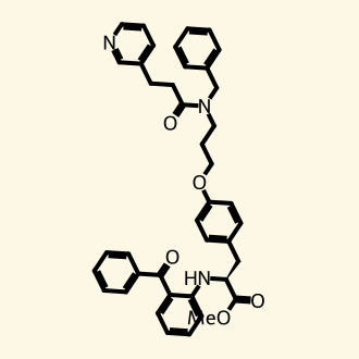 COC(=O)[C@H](Cc1ccc(OCCCN(Cc2ccccc2)C(=O)CCc2cccnc2)cc1)Nc1ccccc1C(=O)c1ccccc1